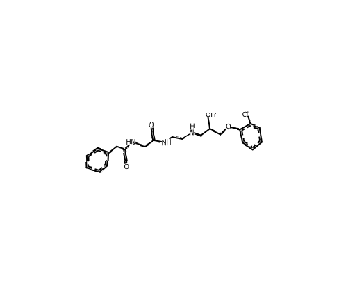 O=C(CNC(=O)Cc1ccccc1)NCCNCC(O)COc1ccccc1Cl